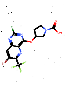 O=C(O)N1CCC(Oc2nc(Cl)nc3cc(Br)c(C(F)(F)F)nc23)C1